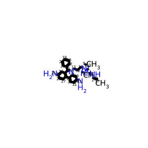 CCCNNC[N+](CC)(CC)CCC[n+]1c(-c2ccccc2)c2cc(N)ccc2c2ccc(N)cc21